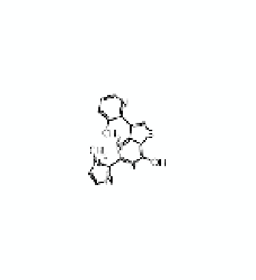 Cc1cccnc1-c1csc2c(O)nc(-c3nccn3C)nc12